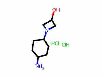 Cl.Cl.NC1CCC(N2CC(O)C2)CC1